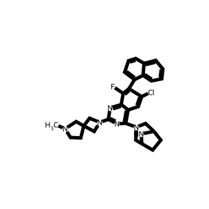 CN1CCC2(C1)CN(c1nc(N3CC4CCC(C3)N4)c3cc(Cl)c(-c4cccc5ccccc45)c(F)c3n1)C2